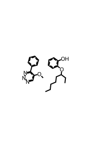 CCCCCC(CC)Oc1ccccc1O.COc1cnnnc1-c1ccccc1